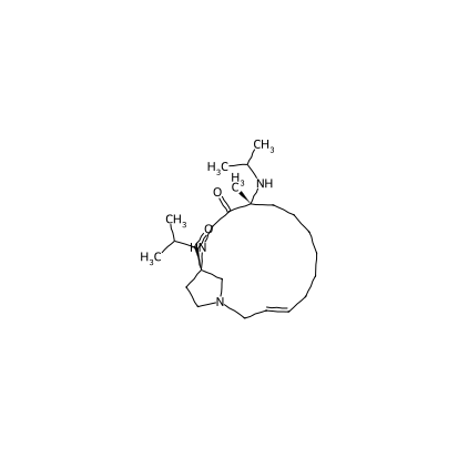 CC(C)N[C@]1(C)CCCCCC/C=C/CN2CC[C@@](C(=O)C(C)C)(C2)NCC1=O